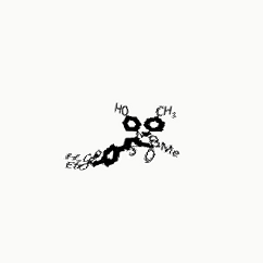 CCOP(C)(=O)Cc1ccc(-c2cc(N(C(=O)[C@H]3CC[C@H](C)CC3)[C@H]3CC[C@H](O)CC3)c(C(=O)OC)s2)cc1